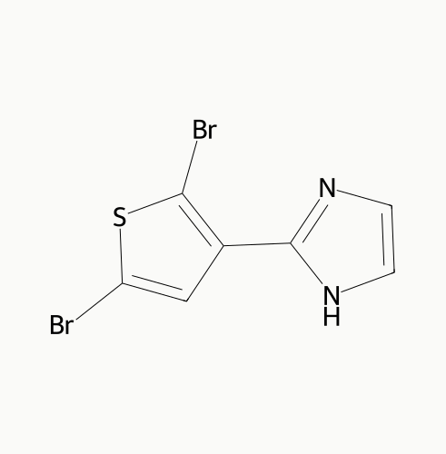 Brc1cc(-c2ncc[nH]2)c(Br)s1